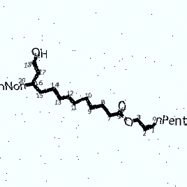 CCCCC/C=C\COC(=O)CCCCCCCCCC(CCO)CCCCCCCCC